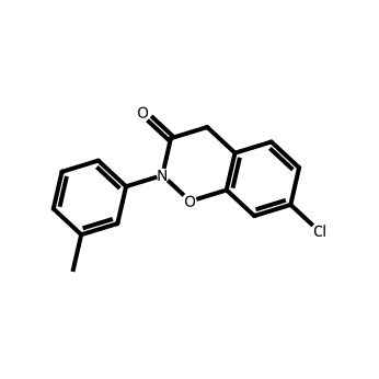 Cc1cccc(N2Oc3cc(Cl)ccc3CC2=O)c1